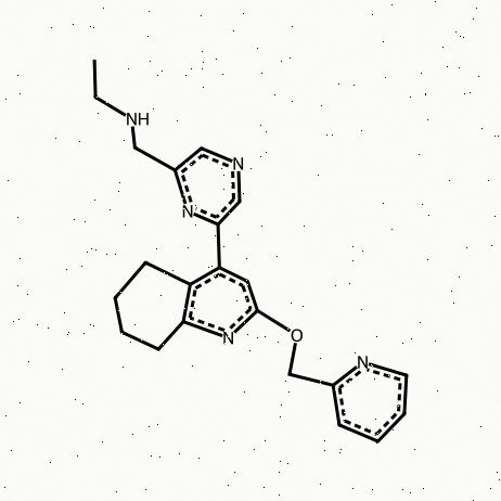 CCNCc1cncc(-c2cc(OCc3ccccn3)nc3c2CCCC3)n1